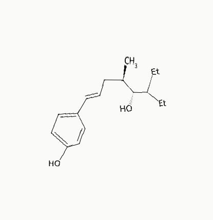 CCC(CC)[C@H](O)[C@H](C)C/C=C/c1ccc(O)cc1